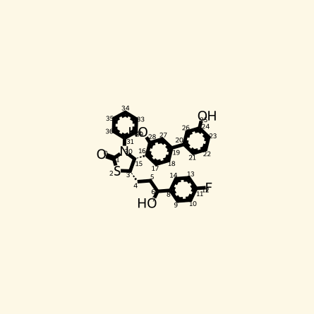 O=C1S[C@@H](CCC(O)c2ccc(F)cc2)[C@@H](c2ccc(-c3cccc(O)c3)cc2O)N1c1ccccc1